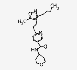 CCCCc1noc(C)c1C=Cc1ccc(C(=O)NC2CCOCC2)cn1